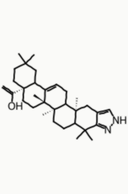 C=C(O)[C@]12CCC(C)(C)CC1C1=CCC3[C@@]4(C)Cc5c[nH]nc5C(C)(C)C4CC[C@@]3(C)[C@]1(C)CC2